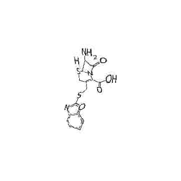 NC1C(=O)N2C(C(=O)O)=C(CSc3nc4ccccc4o3)CS[C@@H]12